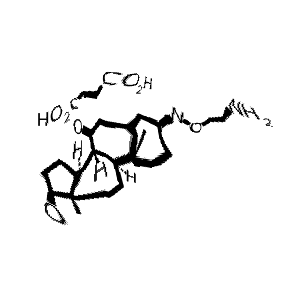 C[C@]12CCC(=NOCCN)CC1CC(=O)[C@@H]1[C@@H]2CC[C@]2(C)C(=O)CC[C@@H]12.O=C(O)/C=C/C(=O)O